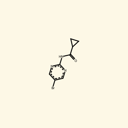 O=C(Nc1ncc(Br)cn1)C1CC1